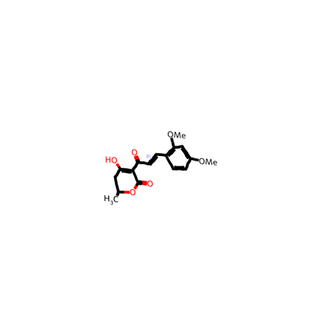 COc1ccc(/C=C/C(=O)C2=C(O)CC(C)OC2=O)c(OC)c1